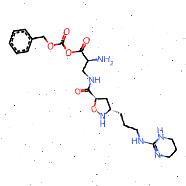 N[C@@H](CNC(=O)[C@H]1C[C@H](CCCNC2=NCCCN2)NO1)C(=O)OC(=O)OCc1ccccc1